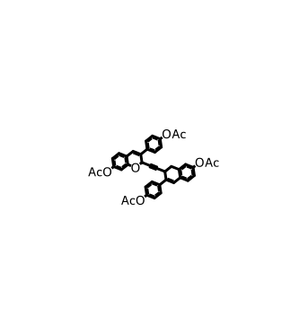 CC(=O)Oc1ccc(C2=Cc3ccc(OC(C)=O)cc3CC2C#CC2Oc3cc(OC(C)=O)ccc3C=C2c2ccc(OC(C)=O)cc2)cc1